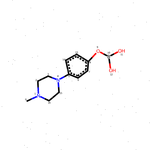 CN1CCN(c2ccc(OB(O)O)cc2)CC1